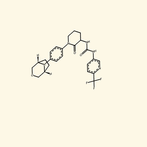 O=C(Nc1ccc(C(F)(F)F)nc1)NC1CCCN(c2ccc(N3[C@@H]4CC[C@H]3COC4)cc2)C1=O